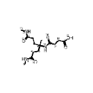 CNC(=O)CCC(C)(CCC(=O)NC)NC(=O)CCC(=O)O